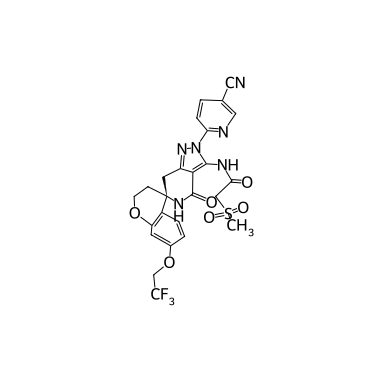 CS(=O)(=O)CC(=O)Nc1c2c(nn1-c1ccc(C#N)cn1)C[C@@]1(CCOc3cc(OCC(F)(F)F)ccc31)NC2=O